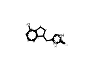 S=c1[nH]cc(CC2CCc3c(Cl)cccc32)[nH]1